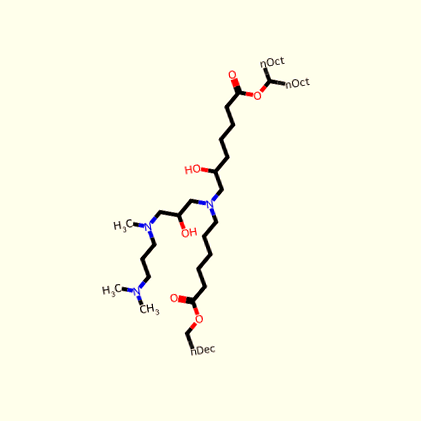 CCCCCCCCCCCOC(=O)CCCCCN(CC(O)CCCCC(=O)OC(CCCCCCCC)CCCCCCCC)CC(O)CN(C)CCCN(C)C